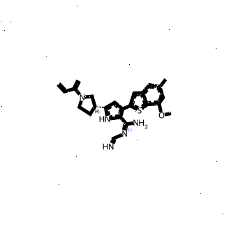 C=CC(=C)N1CC[C@@H](c2cc(-c3cc4cc(C)cc(OC)c4s3)c(/C(N)=N\C=N)[nH]2)C1